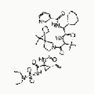 C=C[C@@H]1C[C@]1(NC(=O)[C@@H]1C[C@@]2(CN1C(=O)[C@@H](NC(=O)C(NC(=O)c1cccnc1)C1CCCCC1)C(C)(C)C)C(C)(C)C21CCC1)C(=O)NS(=O)(=O)N(CC)CC